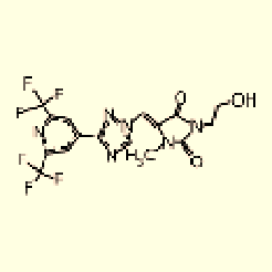 CN1C(=O)N(CCO)C(=O)C1=Cn1cnc(-c2cc(C(F)(F)F)nc(C(F)(F)F)c2)n1